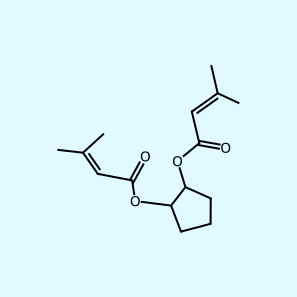 CC(C)=CC(=O)OC1CCCC1OC(=O)C=C(C)C